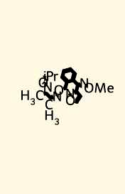 CON=C(c1ccon1)c1ccccc1CON=C(C)C(C)=NOC(C)C